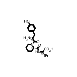 CC(C)[C@@H](NC(=O)[C@@H]1CCCCN1C(=O)[C@@H](N)Cc1ccc(O)cc1)C(=O)O